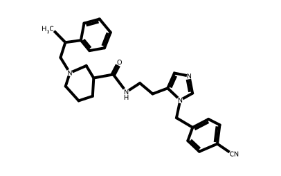 CC(CN1CCCC(C(=O)NCCc2cncn2Cc2ccc(C#N)cc2)C1)c1ccccc1